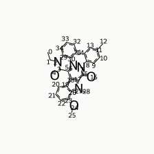 CCN(C(=O)c1nn(-c2ccc(C)cc2)c(=O)c2c1c1cccc(OC)c1n2C)c1ccccc1